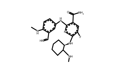 CNc1ccc(Nc2nc(N[C@@H]3CCCCC3NC)c(F)cc2C(N)=O)cc1C=N